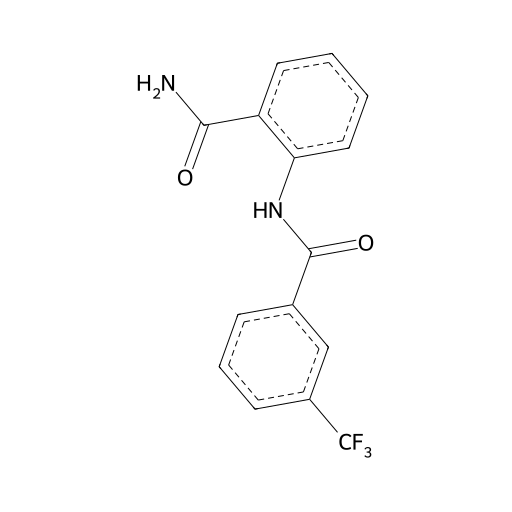 NC(=O)c1ccccc1NC(=O)c1cccc(C(F)(F)F)c1